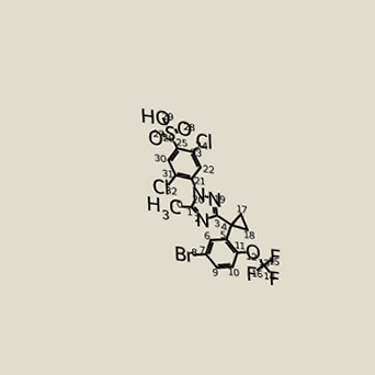 Cc1nc(C2(c3cc(Br)ccc3OC(F)(F)F)CC2)nn1-c1cc(Cl)c(S(=O)(=O)O)cc1Cl